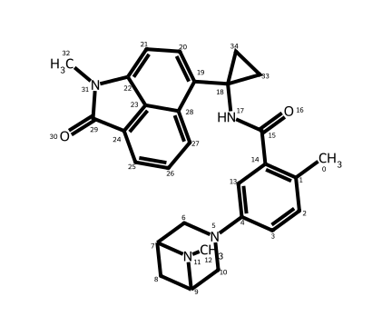 Cc1ccc(N2CC3CC(C2)N3C)cc1C(=O)NC1(c2ccc3c4c(cccc24)C(=O)N3C)CC1